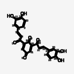 O=C1C=C(C(=O)C=Cc2ccc(O)c(O)c2)C(=O)C(C(=O)C=Cc2ccc(O)c(O)c2)=C1